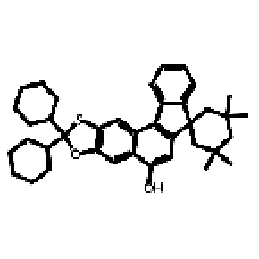 CC1(C)CC(C)(C)CC2(C1)c1ccccc1-c1c2cc(O)c2cc3c(cc12)SC(C1CCCCC1)(C1CCCCC1)O3